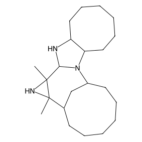 CC12NC1(C)C1NC3CCCCCCC3N1C1CCCCCCC2C1